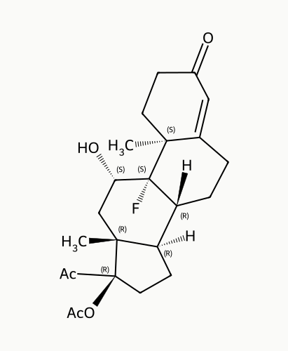 CC(=O)O[C@]1(C(C)=O)CC[C@@H]2[C@H]3CCC4=CC(=O)CC[C@]4(C)[C@]3(F)[C@@H](O)C[C@]21C